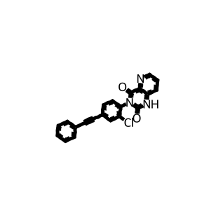 O=c1[nH]c2cccnc2c(=O)n1-c1ccc(C#Cc2ccccc2)cc1Cl